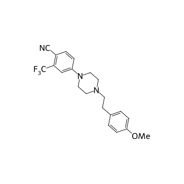 COc1ccc(CCN2CCN(c3ccc(C#N)c(C(F)(F)F)c3)CC2)cc1